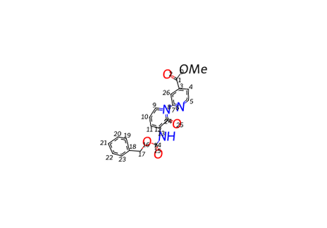 COC(=O)c1ccnc(-n2cccc(NC(=O)OCc3ccccc3)c2=O)c1